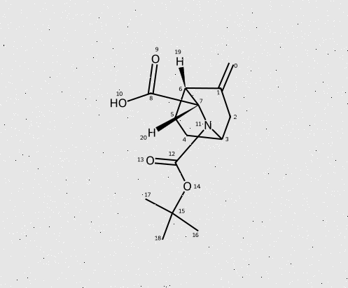 C=C1CC2CC[C@H]1[C@@H](C(=O)O)N2C(=O)OC(C)(C)C